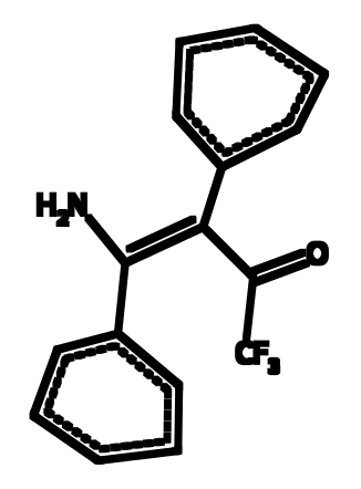 NC(=C(C(=O)C(F)(F)F)c1ccccc1)c1ccccc1